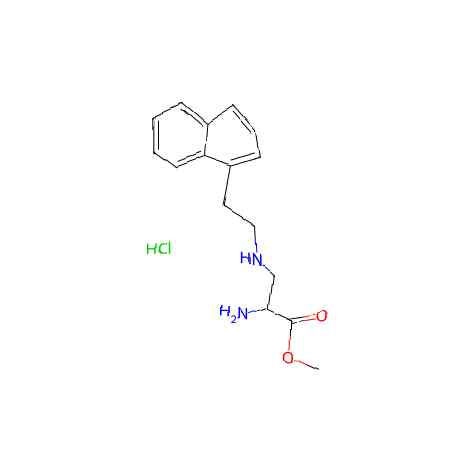 COC(=O)C(N)CNCCc1cccc2ccccc12.Cl